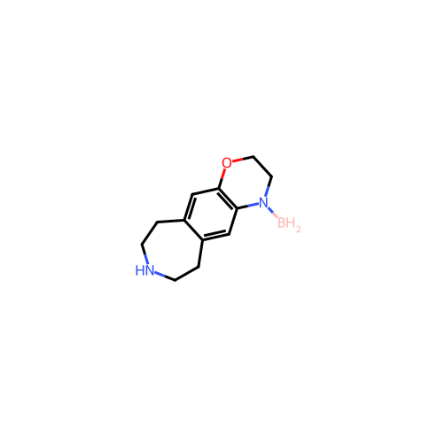 BN1CCOc2cc3c(cc21)CCNCC3